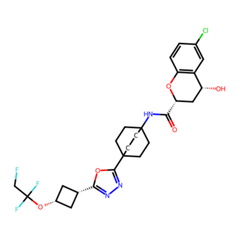 O=C(NC12CCC(c3nnc([C@H]4C[C@@H](OC(F)(F)CF)C4)o3)(CC1)CC2)[C@H]1C[C@@H](O)c2cc(Cl)ccc2O1